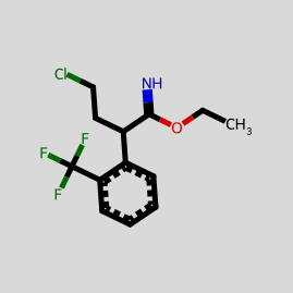 CCOC(=N)C(CCCl)c1ccccc1C(F)(F)F